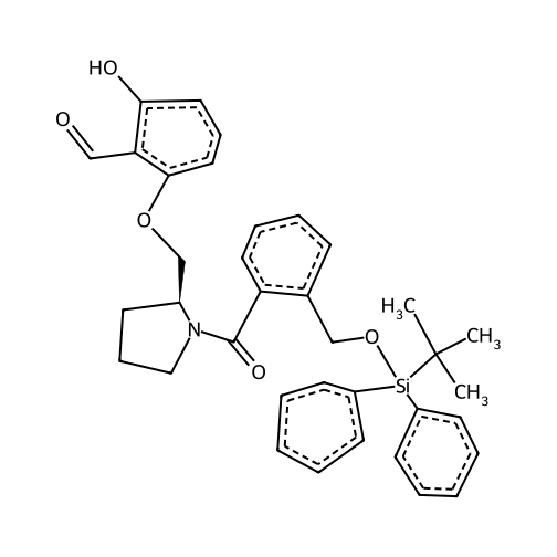 CC(C)(C)[Si](OCc1ccccc1C(=O)N1CCC[C@H]1COc1cccc(O)c1C=O)(c1ccccc1)c1ccccc1